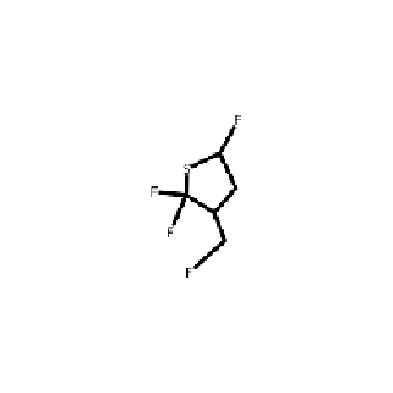 FCC1CC(F)SC1(F)F